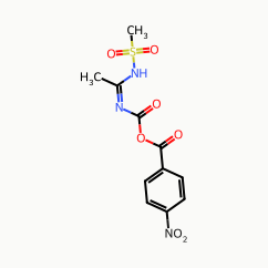 C/C(=N/C(=O)OC(=O)c1ccc([N+](=O)[O-])cc1)NS(C)(=O)=O